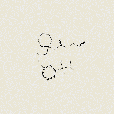 C=CCOC(=O)CC1(CN(C=O)Oc2cccc([C@](CC)(C(C)C)N(C)C)c2)CCCCC1